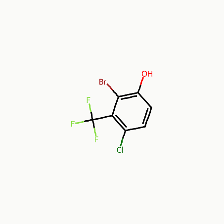 Oc1ccc(Cl)c(C(F)(F)F)c1Br